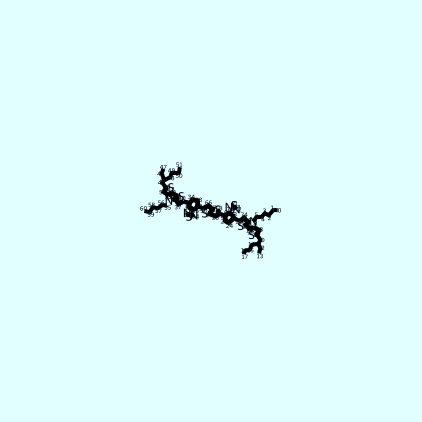 CCCCCCn1c2cc(CC(CC)CCCC)sc2c2sc(-c3ccc(-c4cc5sc(-c6ccc(-c7cc8c(s7)c7sc(CC(CC)CCCC)cc7n8CCCCCC)c7nsnc67)cc5s4)c4nsnc34)cc21